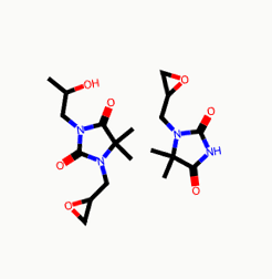 CC(O)CN1C(=O)N(CC2CO2)C(C)(C)C1=O.CC1(C)C(=O)NC(=O)N1CC1CO1